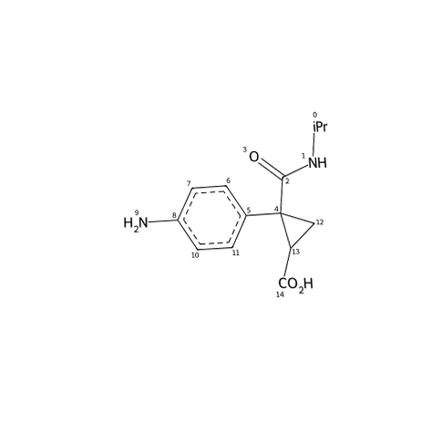 CC(C)NC(=O)C1(c2ccc(N)cc2)CC1C(=O)O